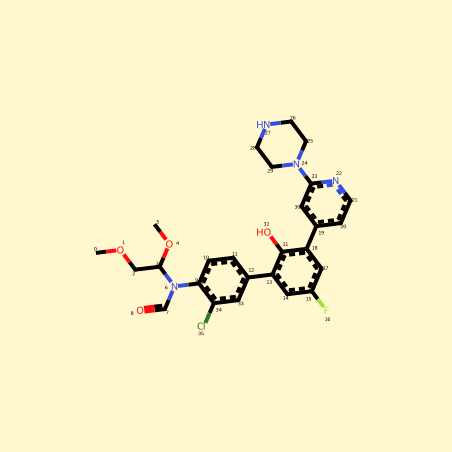 COCC(OC)N(C=O)c1ccc(-c2cc(F)cc(-c3ccnc(N4CCNCC4)c3)c2O)cc1Cl